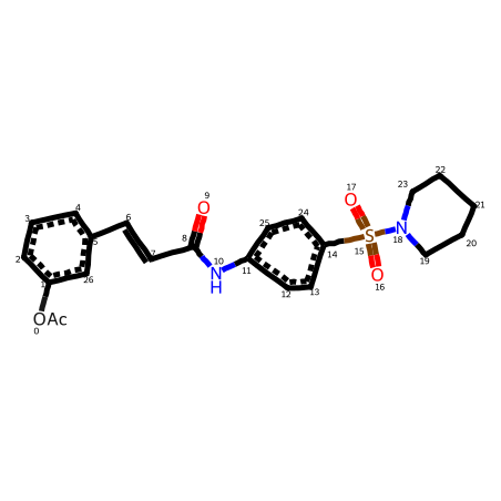 CC(=O)Oc1cccc(C=CC(=O)Nc2ccc(S(=O)(=O)N3CCCCC3)cc2)c1